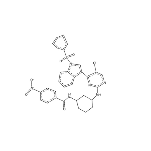 O=C(NC1CCCC(Nc2ncc(Cl)c(-c3cn(S(=O)(=O)c4ccccc4)c4ccccc34)n2)C1)c1ccc([N+](=O)[O-])cc1